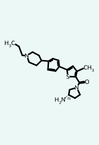 CCCN1CCC(c2ccc(-c3cc(C)c(C(=O)N4CC[C@H](N)C4)s3)cc2)CC1